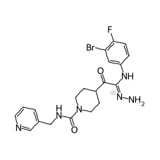 N/N=C(\Nc1ccc(F)c(Br)c1)C(=O)C1CCN(C(=O)NCc2cccnc2)CC1